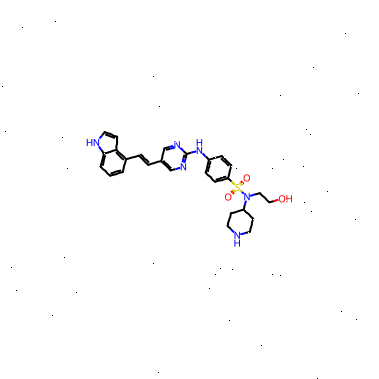 O=S(=O)(c1ccc(Nc2ncc(C=Cc3cccc4[nH]ccc34)cn2)cc1)N(CCO)C1CCNCC1